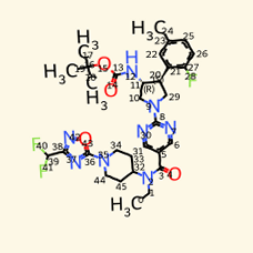 CCN(C(=O)c1cnc(N2C[C@H](NC(=O)OC(C)(C)C)[C@@H](c3cc(C)ccc3F)C2)nc1)C1CCN(c2nc(C(F)F)no2)CC1